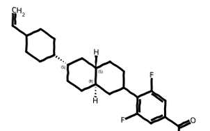 C=CC1CCC([C@H]2CC[C@@H]3CC(c4c(F)cc(C(=O)O)cc4F)CC[C@H]3C2)CC1